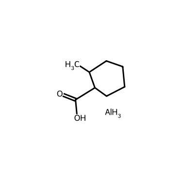 CC1CCCCC1C(=O)O.[AlH3]